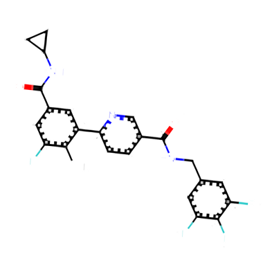 Cc1c(F)cc(C(=O)NC2CC2)cc1-c1ccc(C(=O)NCc2cc(F)c(F)c(F)c2)cn1